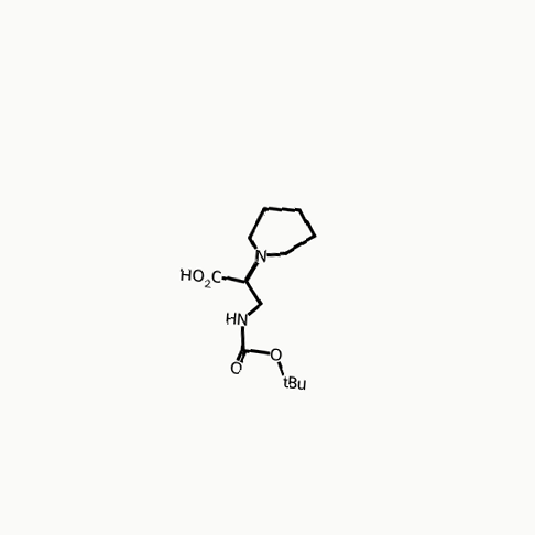 CC(C)(C)OC(=O)NCC(C(=O)O)N1CCCCC1